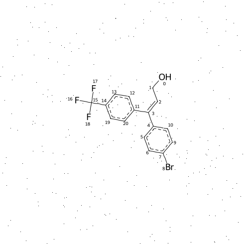 OCC=C(c1ccc(Br)cc1)c1ccc(C(F)(F)F)cc1